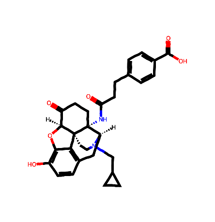 O=C(CCc1ccc(C(=O)O)cc1)N[C@@]12CCC(=O)[C@@H]3Oc4c(O)ccc5c4[C@@]31CCN(CC1CC1)[C@@H]2C5